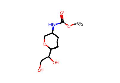 CC(C)(C)OC(=O)NC1CCC(C(O)CO)OC1